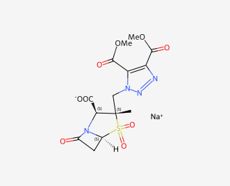 COC(=O)c1nnn(C[C@@]2(C)[C@H](C(=O)[O-])N3C(=O)C[C@@H]3S2(=O)=O)c1C(=O)OC.[Na+]